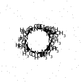 C/C=C/C[C@@H](C)[C@@H](O)[C@H]1C(=O)N[C@@H](CC)C(=O)N(C)CC(=O)N(C)[C@@H](C(C)C)C(=O)N[C@@H](C(C)C)C(=O)N(C)[C@@H](CC(C)C)C(=O)N[C@@H](C)C(=O)N[C@H](C)C(=O)N(C)[C@@H](CC(C)C)C(=O)N(C)[C@H](CC(C)C)C(=O)N(C)[C@@H](C(C)C)C(=O)N1C